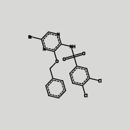 O=S(=O)(Nc1ncc(Br)nc1OCc1ccccc1)c1ccc(Cl)c(Cl)c1